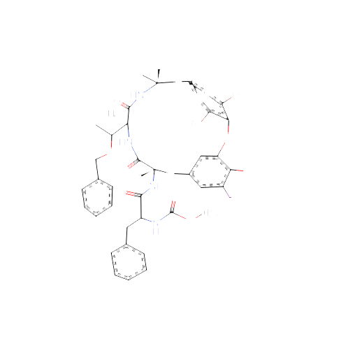 CC(OCc1ccccc1)[C@@H]1NC(=O)[C@@H](NC(=O)C(Cc2ccccc2)NC(=O)OC(C)(C)C)Cc2cc(I)c(O)c(c2)Oc2c(Br)cc(cc2Br)C[C@@H](C)NC1=O